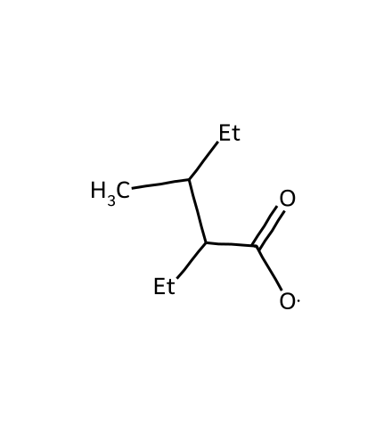 CCC(C)C(CC)C([O])=O